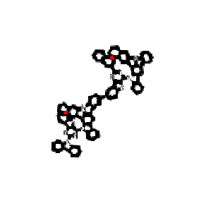 c1ccc2cc(-c3nc(-n4c5ccccc5c5cc6c7ccccc7n7c8cc9ccccc9cc8c(c54)c67)c4sc5ccc(-c6ccc7c(c6)c6cc8c9ccccc9n(-c9nc(-n%10c%11ccccc%11c%11ccccc%11%10)nc%10c9sc9ccccc9%10)c8c8c9cc%10ccccc%10cc9n7c68)cc5c4n3)ccc2c1